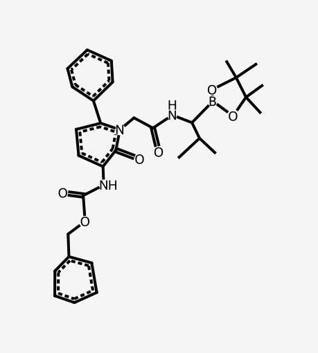 CC(C)C(NC(=O)Cn1c(-c2ccccc2)ccc(NC(=O)OCc2ccccc2)c1=O)B1OC(C)(C)C(C)(C)O1